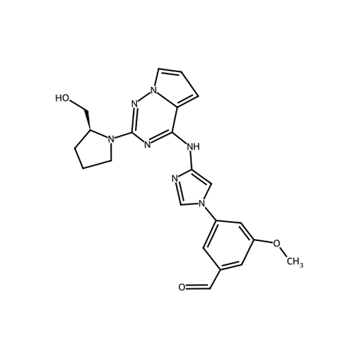 COc1cc(C=O)cc(-n2cnc(Nc3nc(N4CCC[C@H]4CO)nn4cccc34)c2)c1